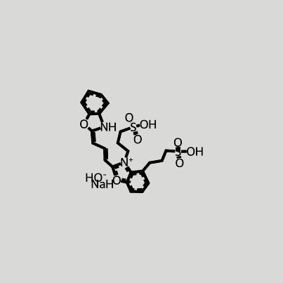 O=S(=O)(O)CCCc1cccc2oc(C=CC=C3Nc4ccccc4O3)[n+](CCCS(=O)(=O)O)c12.[NaH].[OH-]